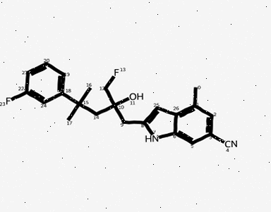 Cc1cc(C#N)cc2[nH]c(CC(O)(CF)CC(C)(C)c3cccc(F)c3)cc12